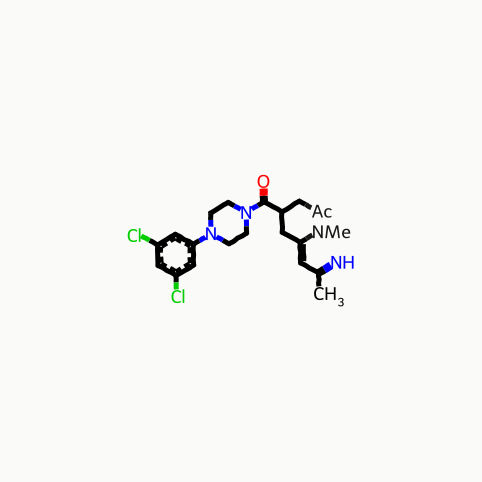 CN/C(=C\C(C)=N)CC(CC(C)=O)C(=O)N1CCN(c2cc(Cl)cc(Cl)c2)CC1